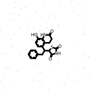 O=C1CCc2c(C(Cc3ccccc3)C3SC(=O)NC3=O)ccc(O)c2N1